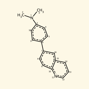 CN(C)c1ccc(-c2ccc3ncc[c]c3c2)cc1